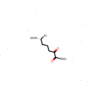 CNC(=O)C(=O)CCC[C@H](NC)C(C)=O